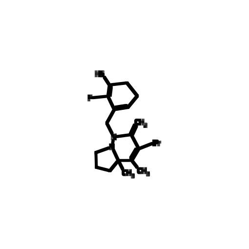 C=C1C(C(C)C)=C(C)C2(C)CCCN2N1CC1=CCCC(S)=C1F